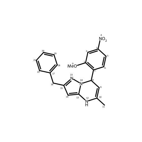 COc1cc([N+](=O)[O-])ccc1C1C=C(C)Nc2cc(Cc3ccccc3)nn21